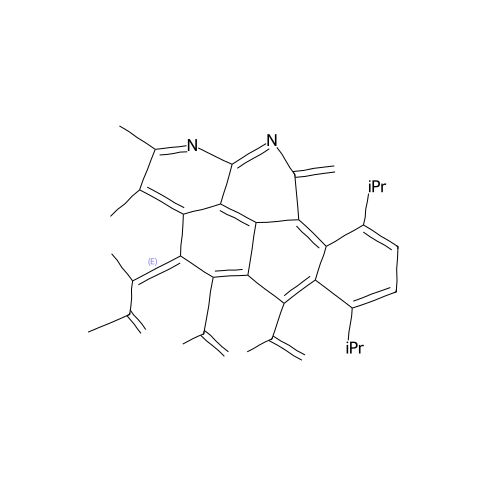 C=C(C)/C(C)=c1\c(C(=C)C)c2c(C(=C)C)c3c(C(C)C)ccc(C(C)C)c3c3c(=C)nc4nc(C)c(C)c1c4c23